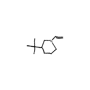 C=CN1CCCC(C(C)(C)C)C1